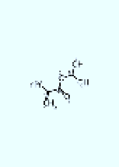 C=C(CCC)C(=O)OC(O)O